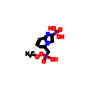 COOP(=O)(O)Cc1cccc2nc(P(=O)(O)O)cn12